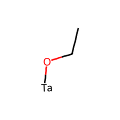 CC[O][Ta]